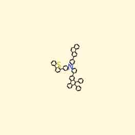 c1ccc(-c2c(-c3ccccc3)c3cc(-c4cccc(N(c5ccc(-c6ccc7c(ccc8ccccc87)c6)cc5)c5ccc(-c6cccc7c6sc6ccccc67)cc5)c4)ccc3c3ccccc23)cc1